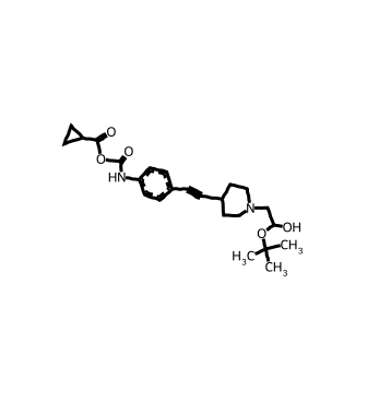 CC(C)(C)OC(O)CN1CCC(C#Cc2ccc(NC(=O)OC(=O)C3CC3)cc2)CC1